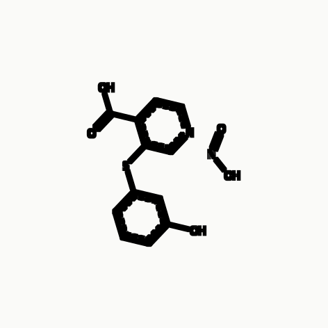 O=C(O)c1ccncc1Sc1cccc(O)c1.O=NO